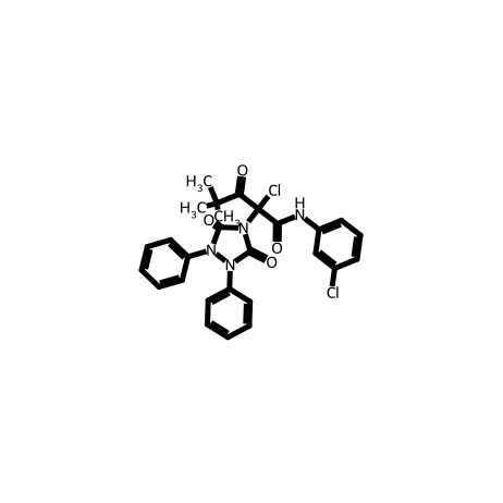 CC(C)(C)C(=O)C(Cl)(C(=O)Nc1cccc(Cl)c1)n1c(=O)n(-c2ccccc2)n(-c2ccccc2)c1=O